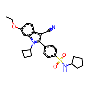 CCOc1ccc2c(C#N)c(-c3ccc(S(=O)(=O)NC4CCCC4)cc3)n(C3CCC3)c2c1